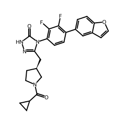 O=C(C1CC1)N1CC[C@@H](Cc2n[nH]c(=O)n2-c2ccc(-c3ccc4occc4c3)c(F)c2F)C1